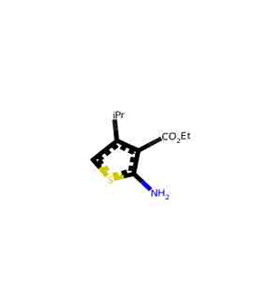 CCOC(=O)c1c(C(C)C)csc1N